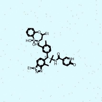 CCC1CN(Cc2cc([C@@H](c3ccc4c(nnn4CC)c3C)C(C)(C)NC(=O)c3ccc(=O)[nH]c3)ccc2C)S(O)(O)c2ccccc2O1